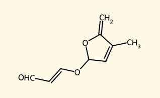 C=C1OC(O/C=C/C=O)C=C1C